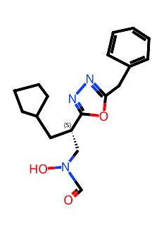 O=CN(O)C[C@H](CC1CCCC1)c1nnc(Cc2ccccc2)o1